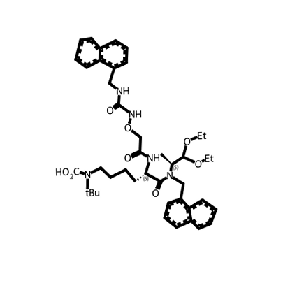 CCOC(OCC)[C@H](C)N(Cc1cccc2ccccc12)C(=O)[C@H](CCCCN(C(=O)O)C(C)(C)C)NC(=O)CONC(=O)NCc1cccc2ccccc12